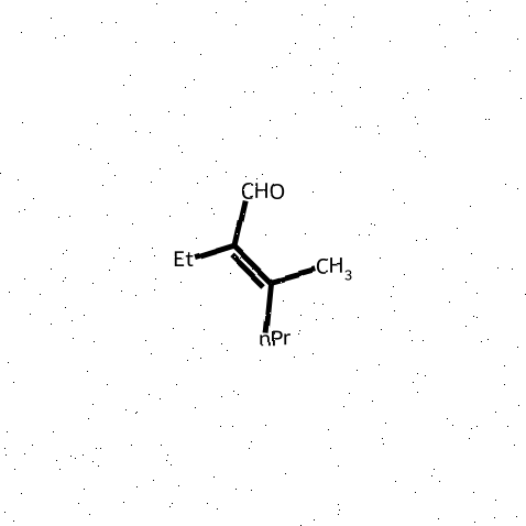 CCCC(C)=C(C=O)CC